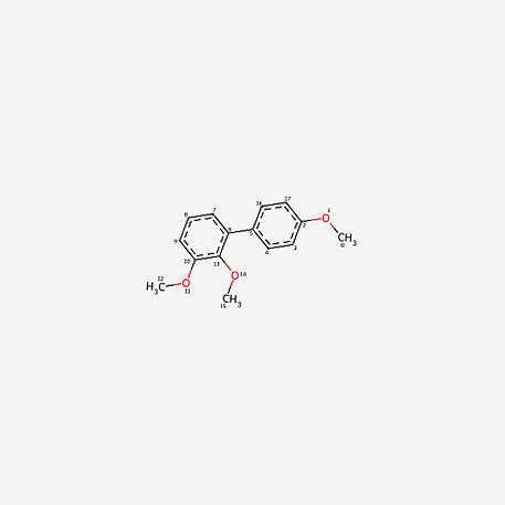 COc1ccc(-c2[c]ccc(OC)c2OC)cc1